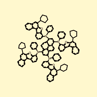 c1ccc(N(c2cc(N(c3ccccc3)c3cccc4c3oc3c(C5CCCCC5)cc5ccccc5c34)c3ccc4c(N(c5ccccc5)c5cccc6c5oc5c(C7CCCCC7)cc7ccccc7c56)cc(N(c5ccccc5)c5cccc6c5oc5c(C7CCCCC7)cc7ccccc7c56)c5ccc2c3c54)c2cccc3c2oc2c(C4CCCCC4)cc4ccccc4c23)cc1